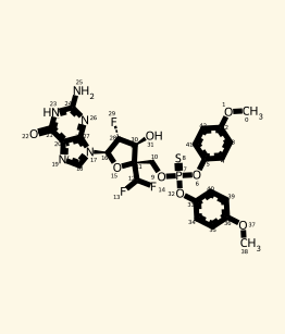 COc1ccc(OP(=S)(OC[C@@]2(C(F)F)O[C@@H](n3cnc4c(=O)[nH]c(N)nc43)[C@H](F)[C@H]2O)Oc2ccc(OC)cc2)cc1